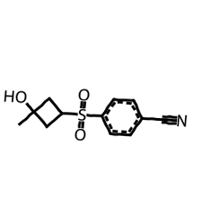 CC1(O)CC(S(=O)(=O)c2ccc(C#N)cc2)C1